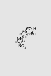 CC(C)(C)C1CC(n2cc([N+](=O)[O-])cn2)CCN1C(=O)O